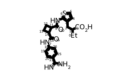 CCC(Cc1ccsc1NC(=O)C1CCC1C(=O)Nc1ccc(C(=N)N)cc1)C(=O)O